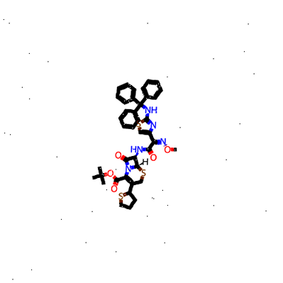 CO/N=C(\C(=O)N[C@@H]1C(=O)N2C(C(=O)OC(C)(C)C)=C(C3CCCS3)CS[C@H]12)c1csc(NC(c2ccccc2)(c2ccccc2)c2ccccc2)n1